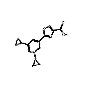 O=C(O)c1csc(-c2cc(C3CC3)cc(C3CC3)c2)n1